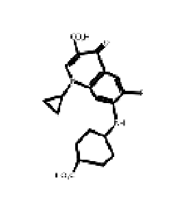 O=C(O)c1cn(C2CC2)c2cc(NC3CCC(C(=O)O)CC3)c(F)cc2c1=O